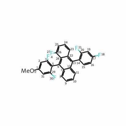 COc1cc(F)c(-c2c3ccccc3c(-c3ccc(F)cc3F)c3cccc(F)c23)c(F)c1